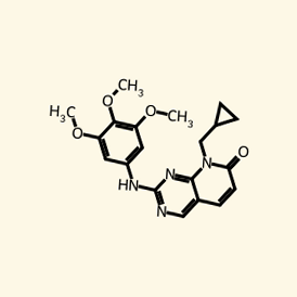 COc1cc(Nc2ncc3ccc(=O)n(CC4CC4)c3n2)cc(OC)c1OC